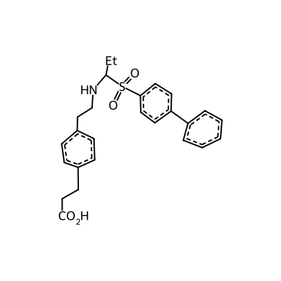 CCC(NCCc1ccc(CCC(=O)O)cc1)S(=O)(=O)c1ccc(-c2ccccc2)cc1